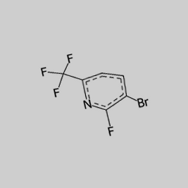 Fc1nc(C(F)(F)F)ccc1Br